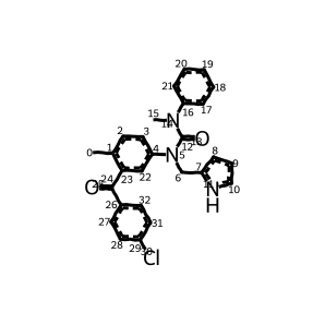 Cc1ccc(N(Cc2ccc[nH]2)C(=O)N(C)c2ccccc2)cc1C(=O)c1ccc(Cl)cc1